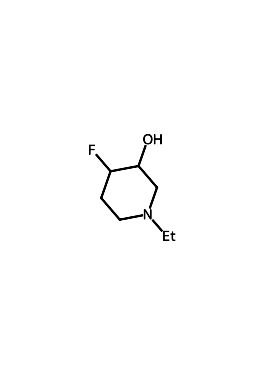 CCN1CCC(F)C(O)C1